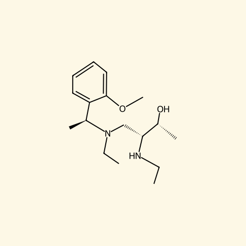 CCN[C@H](CN(CC)[C@@H](C)c1ccccc1OC)[C@@H](C)O